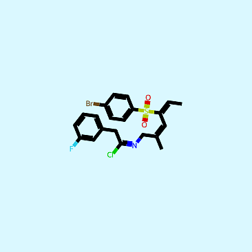 C/C=C(\C=C(\C)C/N=C(/Cl)Cc1cccc(F)c1)S(=O)(=O)c1ccc(Br)cc1